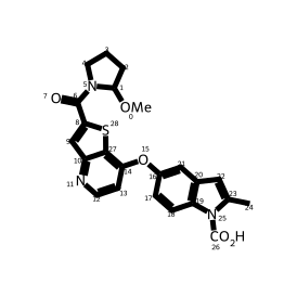 COC1CCCN1C(=O)c1cc2nccc(Oc3ccc4c(c3)cc(C)n4C(=O)O)c2s1